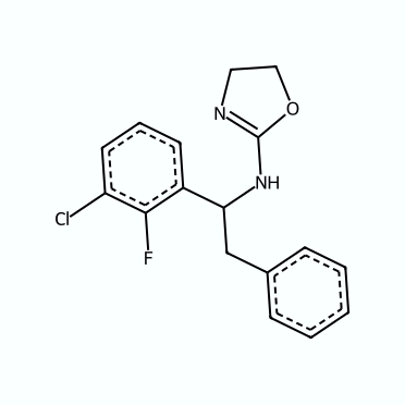 Fc1c(Cl)cccc1C(Cc1ccccc1)NC1=NCCO1